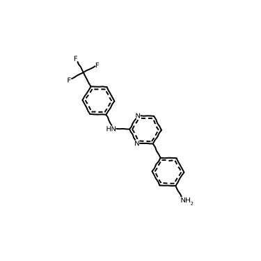 Nc1ccc(-c2ccnc(Nc3ccc(C(F)(F)F)cc3)n2)cc1